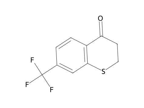 O=C1CCSc2cc(C(F)(F)F)ccc21